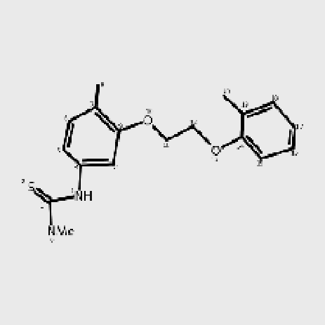 CNC(=S)Nc1ccc(C)c(OCCOc2ccccc2C)c1